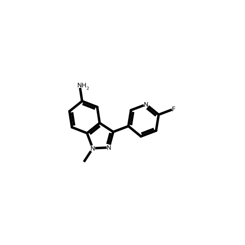 Cn1nc(-c2ccc(F)nc2)c2cc(N)ccc21